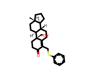 C[C@@]12CCC[C@H]1[C@@H]1CCC3=C(CSc4ccccc4)C(=O)CC[C@]3(CO)[C@H]1CC2